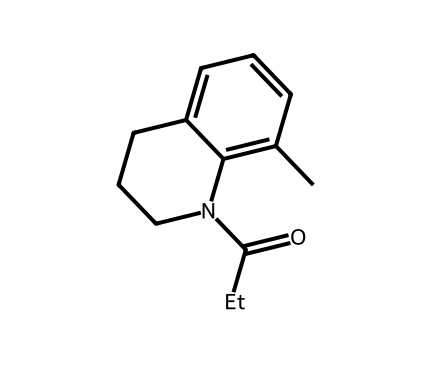 CCC(=O)N1CCCc2cccc(C)c21